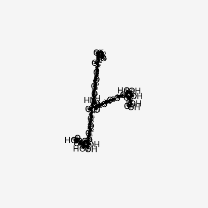 O=C(CCCOCCOCCOCCOCCNC(=O)CC(C(=O)CCCOCCOCCOCCOC1OC(COP(=O)(O)O)C(O)C(O)C1O)C(=O)NCCOCCOCCOCCOC1OC(COP(=O)(O)O)C(O)C(O)C1O)CCN1C(=O)C=CC1=O